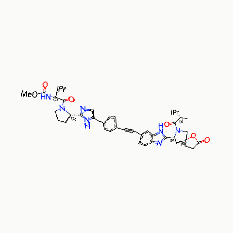 COC(=O)N[C@H](C(=O)N1CCC[C@H]1c1ncc(-c2ccc(C#Cc3ccc4nc([C@@H]5C[C@@]6(CCC(=O)O6)CN5C(=O)[C@@H](C)C(C)C)[nH]c4c3)cc2)[nH]1)C(C)C